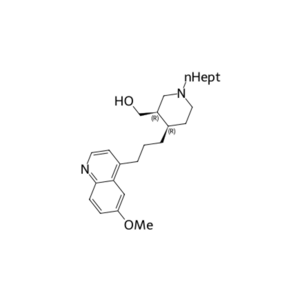 CCCCCCCN1CC[C@@H](CCCc2ccnc3ccc(OC)cc23)[C@@H](CO)C1